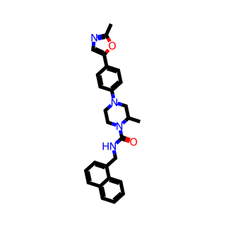 Cc1ncc(-c2ccc(N3CCN(C(=O)NCc4cccc5ccccc45)C(C)C3)cc2)o1